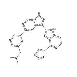 CN(C)Cc1cncc(-c2cc3c(-c4cc5c(-c6ccsc6)nccc5[nH]4)n[nH]c3cn2)c1